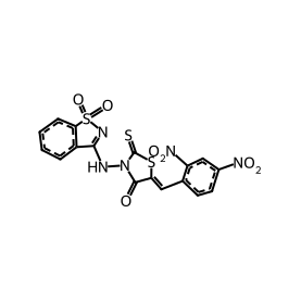 O=C1C(=Cc2ccc([N+](=O)[O-])cc2[N+](=O)[O-])SC(=S)N1NC1=NS(=O)(=O)c2ccccc21